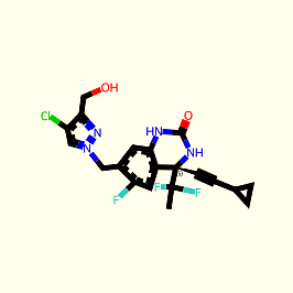 CC(F)(F)[C@@]1(C#CC2CC2)NC(=O)Nc2cc(Cn3cc(Cl)c(CO)n3)c(F)cc21